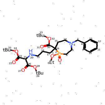 CCOP1(=O)CCN(Cc2ccccc2)CCC1(CCCNC(C(=O)OC(C)(C)C)C(=O)OC(C)(C)C)C(=O)OC(C)(C)C